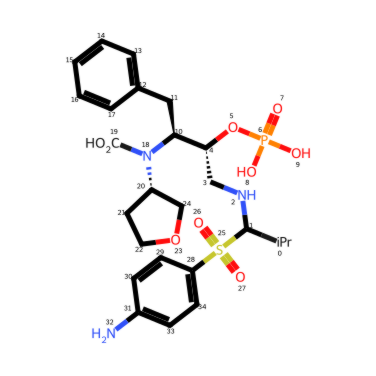 CC(C)C(NC[C@@H](OP(=O)(O)O)[C@H](Cc1ccccc1)N(C(=O)O)[C@H]1CCOC1)S(=O)(=O)c1ccc(N)cc1